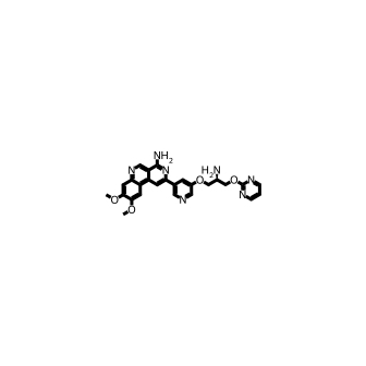 COc1cc2ncc3c(N)nc(-c4cncc(OC[C@@H](N)COc5ncccn5)c4)cc3c2cc1OC